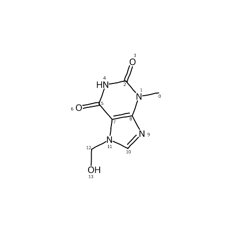 Cn1c(=O)[nH]c(=O)c2c1ncn2CO